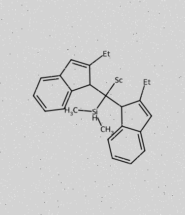 CCC1=Cc2ccccc2C1[C]([Sc])(C1C(CC)=Cc2ccccc21)[SiH](C)C